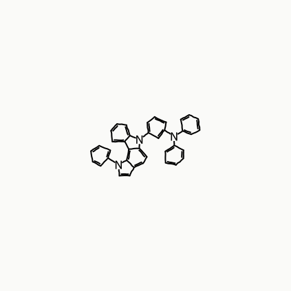 c1ccc(N(c2ccccc2)c2cccc(-n3c4ccccc4c4c5c(ccc43)ccn5-c3ccccc3)c2)cc1